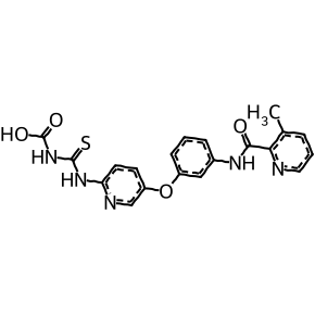 Cc1cccnc1C(=O)Nc1cccc(Oc2ccc(NC(=S)NC(=O)O)nc2)c1